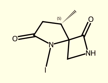 C[C@H]1CC(=O)N(I)C12CNC2=O